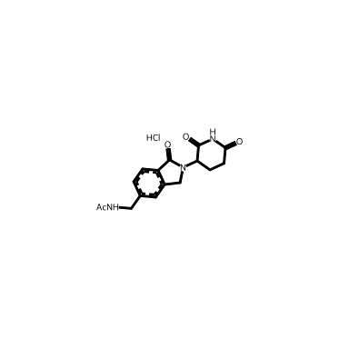 CC(=O)NCc1ccc2c(c1)CN(C1CCC(=O)NC1=O)C2=O.Cl